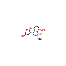 CCCCn1cc2c3c(ccc(O)c3c1=O)Oc1ccc(O)cc1-2